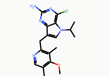 COc1c(C)cnc(Cc2cn(C(C)C)c3c(Cl)nc(N)nc23)c1C